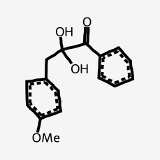 COc1ccc(CC(O)(O)C(=O)c2ccccc2)cc1